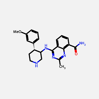 COc1cccc([C@H]2CCNCC2Nc2nc(C)nc3c(C(N)=O)cccc23)c1